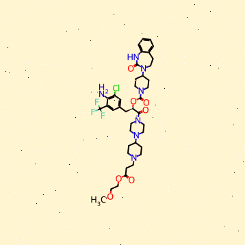 COCCOC(=O)CCN1CCC(N2CCN(C(=O)[C@@H](Cc3cc(Cl)c(N)c(C(F)(F)F)c3)OC(=O)N3CCC(N4CCc5ccccc5NC4=O)CC3)CC2)CC1